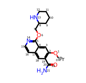 CC(C)Oc1cc2c(OCC3CCCCN3)nccc2cc1C(N)=O